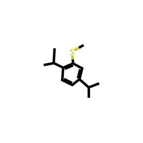 CSc1cc(C(C)C)ccc1C(C)C